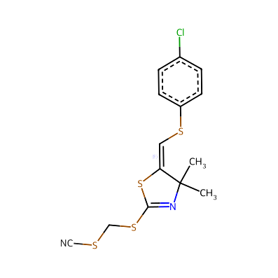 CC1(C)N=C(SCSC#N)S/C1=C/Sc1ccc(Cl)cc1